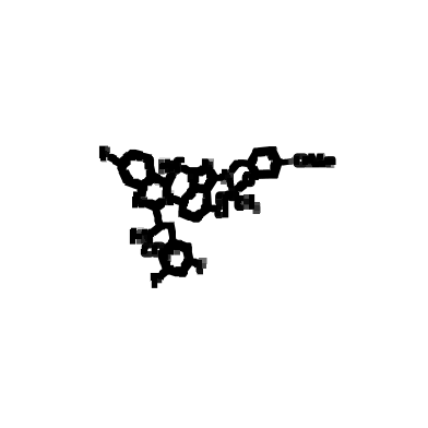 COc1ccc(CN(c2nn(C)c3c(-n4c(C(Cc5cc(F)cc(F)c5)NC(=O)O)nc5cc(F)ccc5c4=O)ccc(Cl)c23)S(C)(=O)=O)cc1